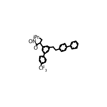 CC(C)CC(C(=O)N=O)c1cc(CCc2ccc(-c3ccccc3)cc2)cc(-c2ccc(C(F)(F)F)cc2)c1